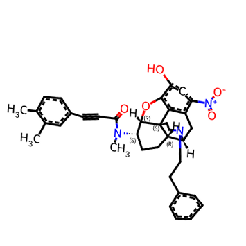 Cc1ccc(C#CC(=O)N(C)[C@H]2CC[C@H]3[C@H]4Cc5c([N+](=O)[O-])cc(O)c6c5[C@@]3(CCN4CCc3ccccc3)[C@H]2O6)cc1C